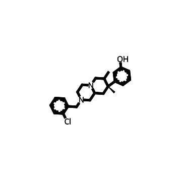 CC1CN2CCN(Cc3ccccc3Cl)CC2C[C@@]1(C)c1cccc(O)c1